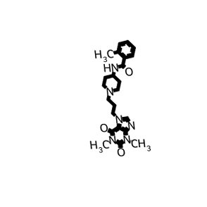 Cc1ccccc1C(=O)NC1CCN(CCCn2cnc3c2c(=O)n(C)c(=O)n3C)CC1